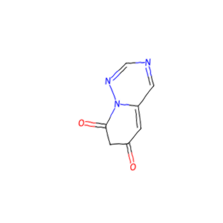 O=C1C=C2C=NC=NN2C(=O)C1